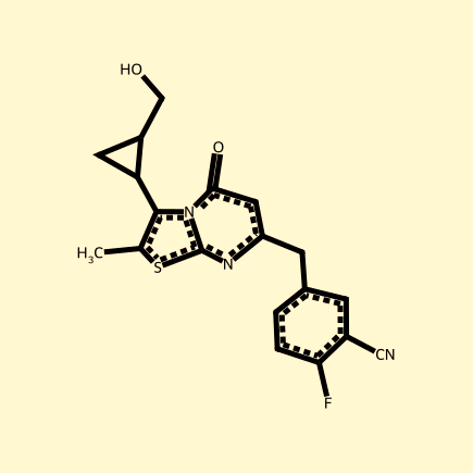 Cc1sc2nc(Cc3ccc(F)c(C#N)c3)cc(=O)n2c1C1CC1CO